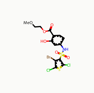 COCCOC(=O)c1ccc(NS(=O)(=O)c2c(Cl)sc(Cl)c2Br)cc1O